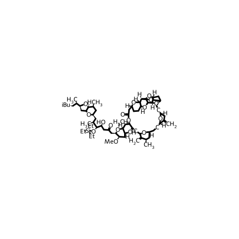 C=C1C2C[C@@H]3O[C@H]4C[C@@H](OC)[C@@H](CC(=O)C[C@H](O)[C@@H](O[Si](CC)(CC)CC)[C@@H](C)C[C@@H]5C[C@H](C)[C@@H]6O[C@H]([C@@H](C)C[C@@H](C)CC)CC6O5)O[C@H]4[C@H](C)[C@H]3OC(=O)C[C@H]3CC[C@@H]4OC5C6O[C@@H]7C[C@](CC[C@H]8CC(=C)[C@H](CC[C@@H](C[C@H]1C)O2)O8)(O[C@H]6[C@H]4O3)O[C@@H]57